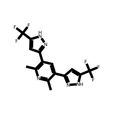 Cc1nc(C)c(-c2cc(C(F)(F)F)[nH]n2)cc1-c1cc(C(F)(F)F)[nH]n1